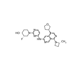 C[C@@H]1CCN1c1ncc([C@H]2CCOC2)c2cc(Nc3ccnc(N4CC[C@@H](O)[C@@H](F)C4)n3)ncc12